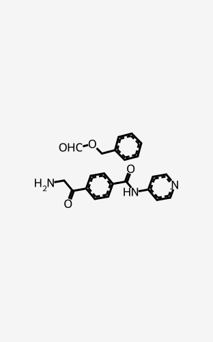 NCC(=O)c1ccc(C(=O)Nc2ccncc2)cc1.O=COCc1ccccc1